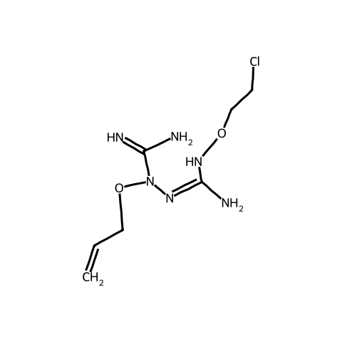 C=CCON(N=C(N)NOCCCl)C(=N)N